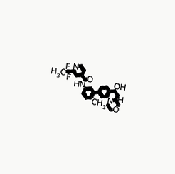 Cc1ccc(NC(=O)c2ccnc(C(C)(F)F)c2)cc1-c1ccc2c(c1)N1CCOC[C@H]1C[C@H]2O